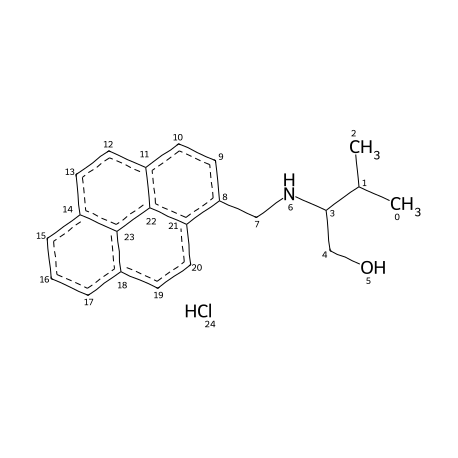 CC(C)C(CO)NCc1ccc2ccc3cccc4ccc1c2c34.Cl